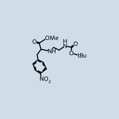 COC(=O)C(Cc1ccc([N+](=O)[O-])cc1)NCCNC(=O)OC(C)(C)C